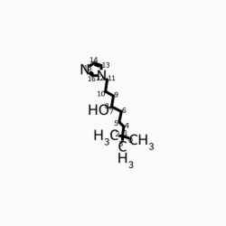 CC(C)(C)CCC[C@@H](O)CCCn1ccnc1